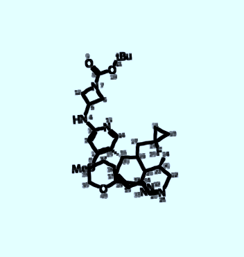 COc1cc(NC2CN(C(=O)OC(C)(C)C)C2)ncc1[C@H]1C=CC23C(=NC[C@H](C)C2C1CC1(F)CC1)N=NC3C1CCCCO1